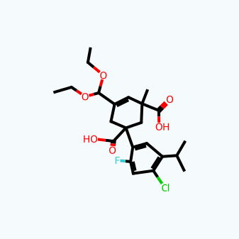 CCOC(OCC)C1=CC(C)(C(=O)O)CC(C(=O)O)(c2cc(C(C)C)c(Cl)cc2F)C1